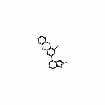 Cn1cc2c(-c3cc(F)c(Cc4cccnc4)c(F)c3)cccc2n1